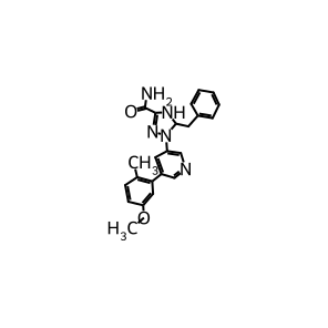 COc1ccc(C)c(-c2cncc(N3N=C(C(N)=O)NC3Cc3ccccc3)c2)c1